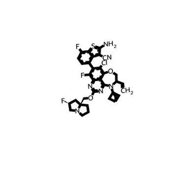 C=CC1COc2c(Cl)c(-c3ccc(F)c4sc(N)c(C#N)c34)c(F)c3nc(OC[C@@]45CCCN4C[C@H](F)C5)nc(c23)N1C12CC(C1)C2